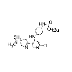 CN(C)c1ccc(-c2cnc(Cl)cc2NC2CCC(NC(=O)OC(C)(C)C)CC2)nc1